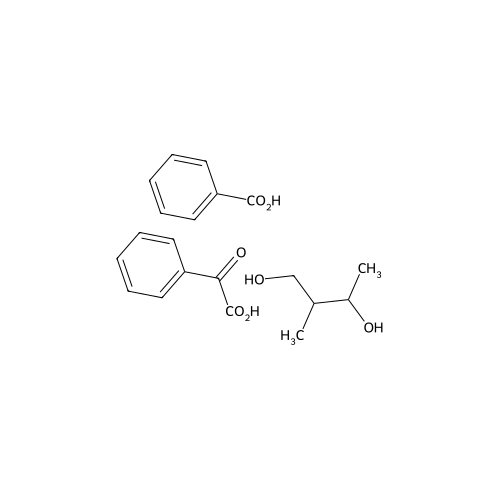 CC(O)C(C)CO.O=C(O)C(=O)c1ccccc1.O=C(O)c1ccccc1